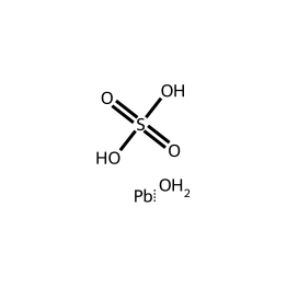 O.O=S(=O)(O)O.[Pb]